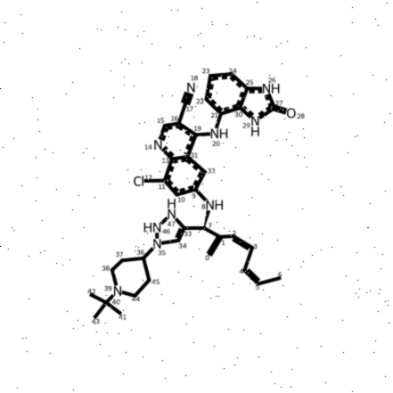 C=C(/C=C\C=C/C)[C@H](Nc1cc(Cl)c2ncc(C#N)c(Nc3cccc4[nH]c(=O)[nH]c34)c2c1)C1=CN(C2CCN(C(C)(C)C)CC2)NN1